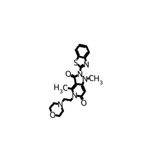 Cc1c2c(=O)n(-c3nc4ccccc4s3)n(C)c2cc(=O)n1CCN1CCOCC1